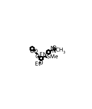 CCOc1cc(OCCOC2CCCCO2)c(F)c(C(CSC)=Nc2ccc(-c3noc(C)n3)cc2)c1